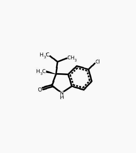 CC(C)[C@@]1(C)C(=O)Nc2ccc(Cl)cc21